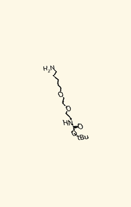 CC(C)(C)OC(=O)NCCOCCOCCCCCN